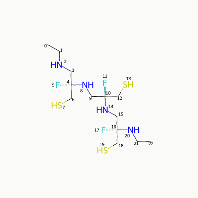 CCNC[C@](F)(CS)NC[C@](F)(CS)NC[C@](F)(CS)NCC